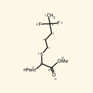 CCCCCC(SCCCC(C)(F)F)C(=O)OC